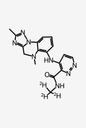 [2H]C([2H])([2H])NC(=O)c1nnccc1Nc1cccc2c1N(C)Cc1nc(C)nn1-2